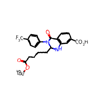 CC(C)(C)OC(=O)CCCCC1Nc2cc(C(=O)O)ccc2C(=O)N1c1ccc(C(F)(F)F)cc1